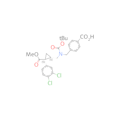 COC(=O)[C@@]1(c2ccc(Cl)c(Cl)c2)C[C@@H]1CN(Cc1ccc(C(=O)O)cc1)C(=O)OC(C)(C)C